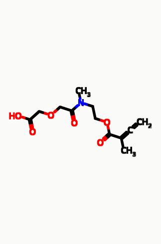 C=C=C(C)C(=O)OCCN(C)C(=O)COCC(=O)O